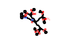 BOCCCC(CCCC#CCCCC(CCCC#CCCCC(CCO)(CCCOC(=O)c1ccccc1)CCCOC(=O)c1ccccc1)(CCCC#CCCCC(CCCOC(=O)c1ccccc1)(CCCOC(=O)c1ccccc1)CCCOC(=O)c1ccccc1)CCC(=O)NCCCCCCNC(=O)OCc1c2ccccc2cc2ccccc12)(CCCOC(=O)c1ccccc1)CCOC(=O)c1ccccc1